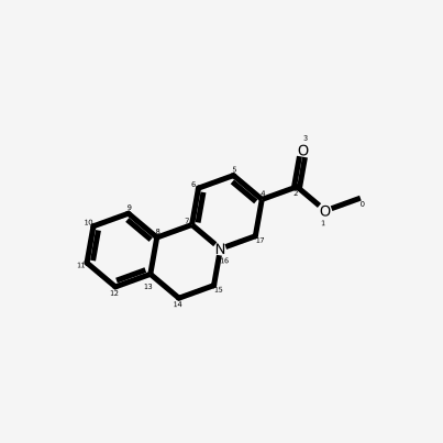 COC(=O)C1=CC=C2c3ccccc3CCN2C1